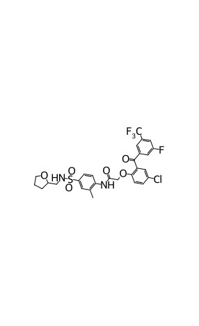 Cc1cc(S(=O)(=O)NCC2CCCO2)ccc1NC(=O)COc1ccc(Cl)cc1C(=O)c1cc(F)cc(C(F)(F)F)c1